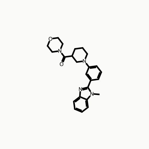 Cn1c(-c2cccc(N3CCCC(C(=O)N4CCOCC4)C3)c2)nc2ccccc21